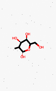 CC1[C@@H](O)[C@@H](O)C(CO)O[C@@H]1O